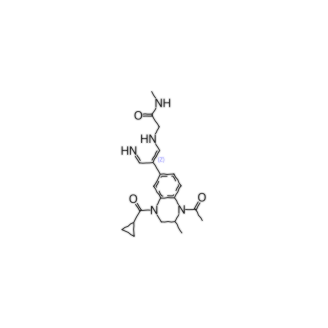 CNC(=O)CN/C=C(\C=N)c1ccc2c(c1)N(C(=O)C1CC1)CC(C)N2C(C)=O